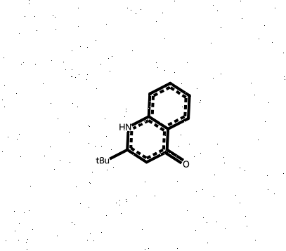 CC(C)(C)c1cc(=O)c2ccccc2[nH]1